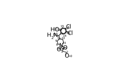 COCCS(=O)(=O)N1CCC([C@@H](N)c2cc(Cl)c(Cl)cc2O)CC1